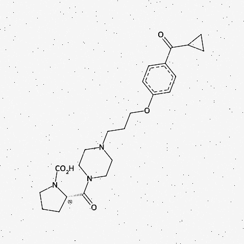 O=C(c1ccc(OCCCN2CCN(C(=O)[C@@H]3CCCN3C(=O)O)CC2)cc1)C1CC1